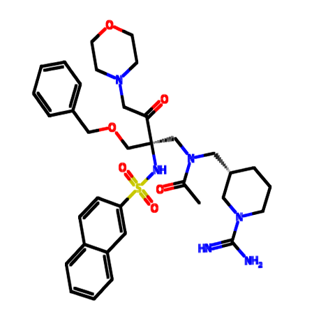 CC(=O)N(C[C@@H]1CCCN(C(=N)N)C1)C[C@@](COCc1ccccc1)(NS(=O)(=O)c1ccc2ccccc2c1)C(=O)CN1CCOCC1